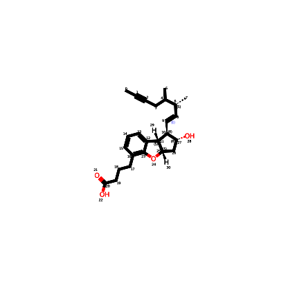 CC#CCC(C)[C@H](C)/C=C/[C@@H]1[C@H]2c3cccc(CCCC(=O)O)c3O[C@H]2C[C@H]1O